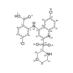 O=C(O)c1ccc(Cl)cc1Nc1cc(S(=O)(=O)C2COCCN2)nc2ccc(Cl)cc12